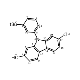 CC(C)(C)c1ccnc(-n2c3cc(O)ccc3c3ccc(Cl)cc32)c1